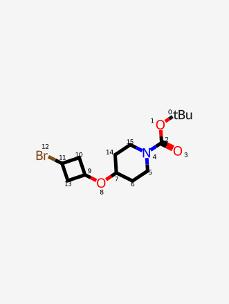 CC(C)(C)OC(=O)N1CCC(OC2CC(Br)C2)CC1